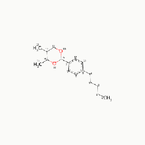 CCCCCc1ccc(C2OCC(C)C(C)O2)cc1